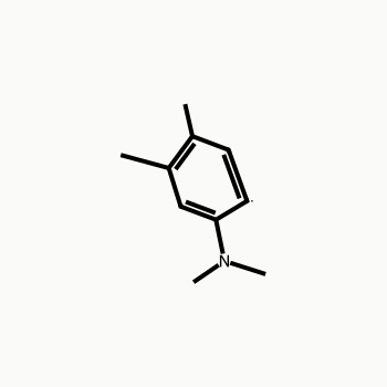 Cc1c[c]c(N(C)C)cc1C